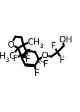 CC1(C2=CC=C(F)[C@](F)(OCC(F)(F)CO)C2)CCOC1(C)C(F)(F)F